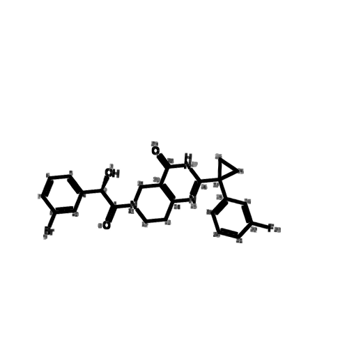 O=C([C@H](O)c1cccc(Br)c1)N1CCc2nc(C3(c4cccc(F)c4)CC3)[nH]c(=O)c2C1